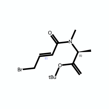 C=C(OC(C)(C)C)[C@H](C)N(C)C(=O)/C=C/CBr